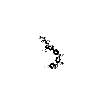 CC(C)(C)OC(=O)NCCn1cc(C#N)c2cc(-c3ccc([S+]([O-])N4CC[C@@H](Nc5ccc(C(F)(F)F)cn5)[C@@H](O)C4)cc3)cnc21